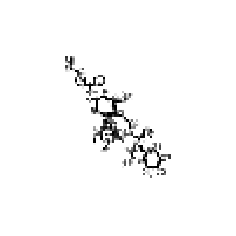 C=CCOC(=O)Oc1cc(C)c(C[C@@H](N)C(=O)N2CCc3ccccc32)c(Br)c1